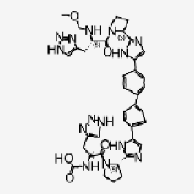 COCN[C@@H](Cc1c[nH]nn1)C(=O)N1CCC[C@H]1c1ncc(-c2ccc(-c3ccc(-c4cnc([C@@H]5CCCN5C(=O)[C@H](Cc5c[nH]nn5)NC(=O)O)[nH]4)cc3)cc2)[nH]1